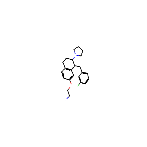 NCCOc1ccc2c(c1)C(Cc1cccc(Cl)c1)C(N1CCCC1)CC2